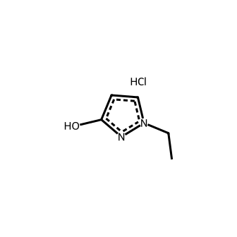 CCn1ccc(O)n1.Cl